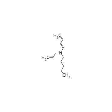 C=CC=CN(CC=C)CCCCC